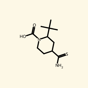 CC(C)(C)C1CC(C(N)=S)CCN1C(=O)O